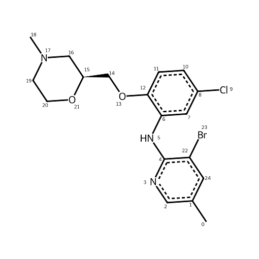 Cc1cnc(Nc2cc(Cl)ccc2OC[C@@H]2CN(C)CCO2)c(Br)c1